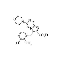 CCOC(=O)c1nc2cnc(N3CCOCC3)cn2c1Cc1cccc(Cl)c1C